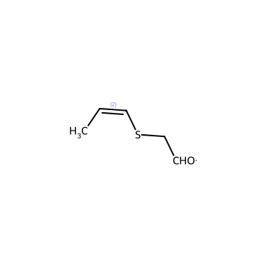 C/C=C\SC[C]=O